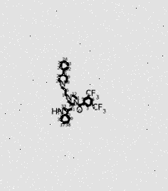 O=C(c1cc(C(F)(F)F)cc(C(F)(F)F)c1)N1CCN(CCCN2CCC(c3ccccc3)CC2)C[C@H]1Cc1c[nH]c2ccccc12